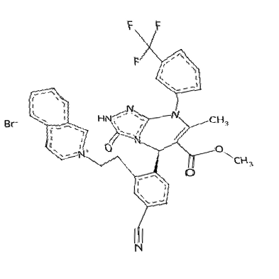 COC(=O)C1=C(C)N(c2cccc(C(F)(F)F)c2)c2n[nH]c(=O)n2[C@@H]1c1ccc(C#N)cc1CC[n+]1ccc2ccccc2c1.[Br-]